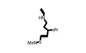 C=CNCCC(/C=C/SNC)CCC